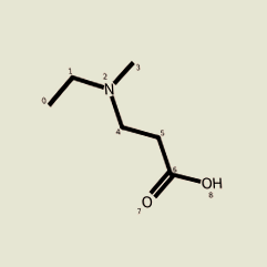 CCN(C)CCC(=O)O